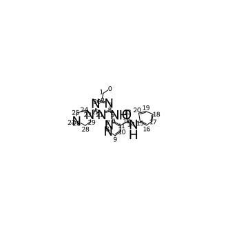 CCc1nc(Nc2nnccc2C(=O)Nc2ccccc2)nc(N2CCN(C)CC2)n1